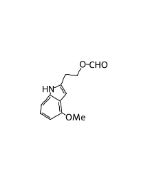 COc1cccc2[nH]c(CCOC=O)cc12